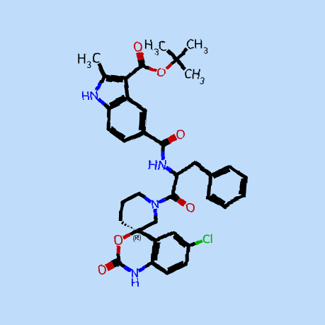 Cc1[nH]c2ccc(C(=O)NC(Cc3ccccc3)C(=O)N3CCC[C@@]4(C3)OC(=O)Nc3ccc(Cl)cc34)cc2c1C(=O)OC(C)(C)C